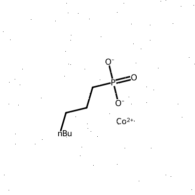 CCCCCCCP(=O)([O-])[O-].[Co+2]